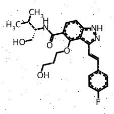 CC(C)[C@@H](CO)NC(=O)c1ccc2[nH]nc(/C=C/c3ccc(F)cc3)c2c1OCCCO